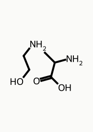 CC(N)C(=O)O.NCCO